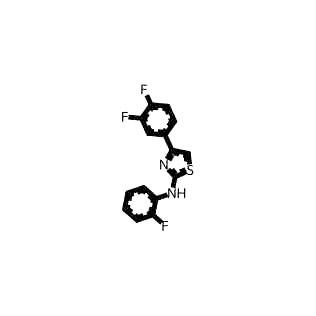 Fc1ccc(-c2csc(Nc3ccccc3F)n2)cc1F